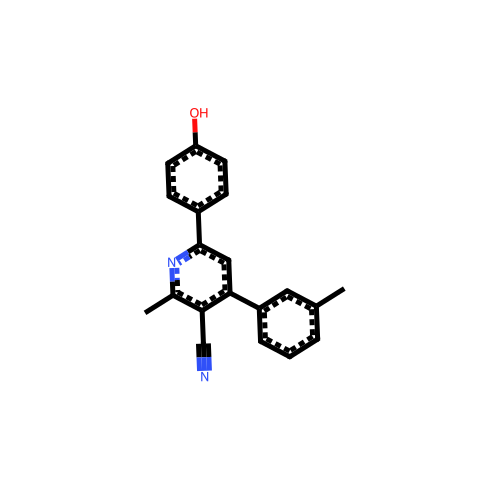 Cc1cccc(-c2cc(-c3ccc(O)cc3)nc(C)c2C#N)c1